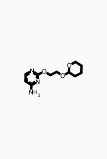 Nc1ccnc(OCCOC2CCCCO2)n1